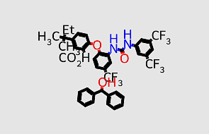 CCC(C)(C)c1ccc(Oc2ccc(C(F)(F)F)cc2NC(=O)Nc2cc(C(F)(F)F)cc(C(F)(F)F)c2)c(C(=O)O)c1.OC(c1ccccc1)c1ccccc1